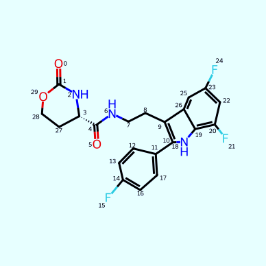 O=C1N[C@H](C(=O)NCCc2c(-c3ccc(F)cc3)[nH]c3c(F)cc(F)cc23)CCO1